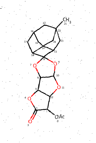 CC(=O)OC1C(=O)OC2C3OC4(OC3OC12)C1CCC2CC4CC(C)(C2)C1